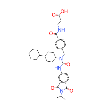 CC(C)N1C(=O)c2ccc(NC(=O)N(Cc3ccc(C(=O)NCCC(=O)O)cc3)C3CCC(C4CCCCC4)CC3)cc2C1=O